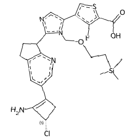 C[Si](C)(C)CCOCn1c(-c2csc(C(=O)O)c2F)cnc1C1CCc2cc(C3=C(N)[C@@H](Cl)C3)cnc21